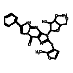 Cc1occc1Sc1nc2c(=O)n3cc(-c4ccccc4)[nH]c3nc2n1C1OC2COPOC2C1O